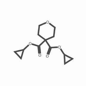 O=C(OC1CC1)C1(C(=O)OC2CC2)CCOCC1